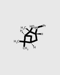 CC(C)N[C@@H]1C[C@@H]2C[C@@H](C2(C)C)[C@]1(C)O